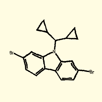 Brc1ccc2c3ccc(Br)cc3n(C(C3CC3)C3CC3)c2c1